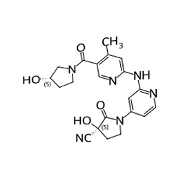 Cc1cc(Nc2cc(N3CC[C@](O)(C#N)C3=O)ccn2)ncc1C(=O)N1CC[C@H](O)C1